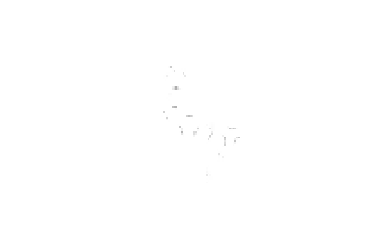 CON1CCN(c2ccc(Cl)cc2C(=O)Nc2ccc(CN(C)C(=O)Oc3cccnc3)cc2)CC1